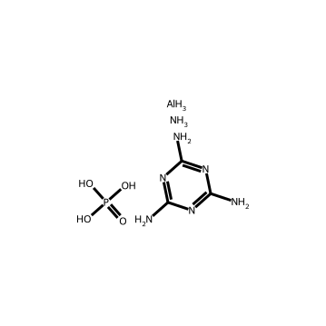 N.Nc1nc(N)nc(N)n1.O=P(O)(O)O.[AlH3]